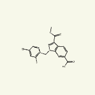 COC(=O)c1nn(Cc2ccc(Cl)cc2F)c2cc(C(=O)O)ccc12